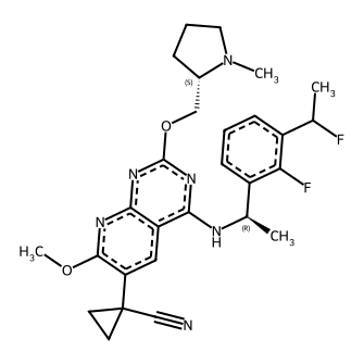 COc1nc2nc(OC[C@@H]3CCCN3C)nc(N[C@H](C)c3cccc(C(C)F)c3F)c2cc1C1(C#N)CC1